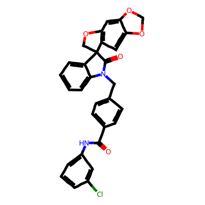 O=C(Nc1cccc(Cl)c1)c1ccc(CN2C(=O)C3(COc4cc5c(cc43)OCO5)c3ccccc32)cc1